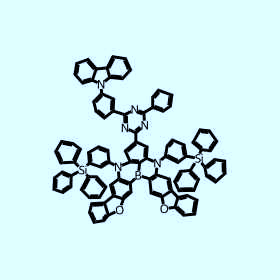 c1ccc(-c2nc(-c3cccc(-n4c5ccccc5c5ccccc54)c3)nc(-c3cc4c5c(c3)N(c3cccc([Si](c6ccccc6)(c6ccccc6)c6ccccc6)c3)c3cc6c(cc3B5c3cc5oc7ccccc7c5cc3N4c3cccc([Si](c4ccccc4)(c4ccccc4)c4ccccc4)c3)oc3ccccc36)n2)cc1